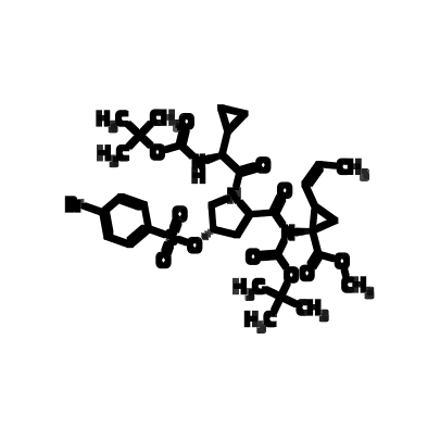 C/C=C\C1C[C@@]1(C(=O)OC)N(C(=O)OC(C)(C)C)C(=O)C1C[C@H](OS(=O)(=O)c2ccc(Br)cc2)CN1C(=O)[C@@H](NC(=O)OC(C)(C)C)C1CC1